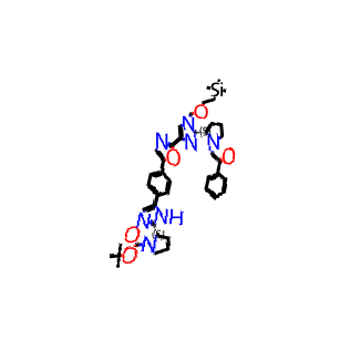 CC(C)(C)OC(=O)N1CCC[C@H]1c1ncc(-c2ccc(-c3cnc(-c4cn(COCC[Si](C)(C)C)c([C@@H]5CCCN5CC(=O)c5ccccc5)n4)o3)cc2)[nH]1